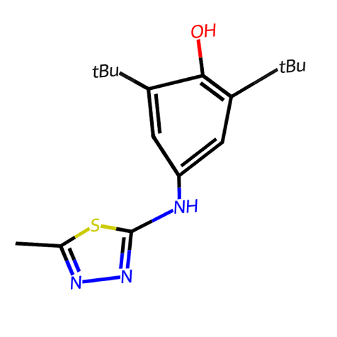 Cc1nnc(Nc2cc(C(C)(C)C)c(O)c(C(C)(C)C)c2)s1